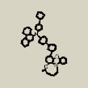 C=C1/C=C\C=C/CN2c3ccccc3Oc3c(-c4cccc(-c5ccc(N(c6ccc(-c7ccccc7)cc6)c6cc7ccccc7c7ccccc67)cc5)c4)ccc(c32)O1